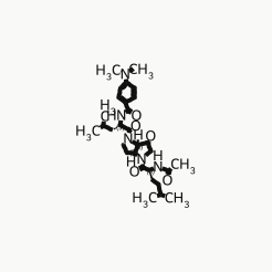 CC(=O)N[C@@H](CCC(C)C)C(=O)N1CC(=O)[C@@H]2[C@H]1CCN2C(=O)[C@H](CC(C)C)NC(=O)c1ccc(N(C)C)cc1